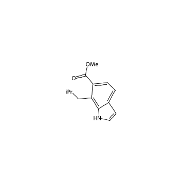 COC(=O)c1ccc2cc[nH]c2c1CC(C)C